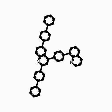 c1ccc(-c2ccc(-c3ccc4nc(-c5ccc(-c6ccccc6)cc5)cc(-c5ccc(-c6cccc7cccnc67)cc5)c4c3)cc2)cc1